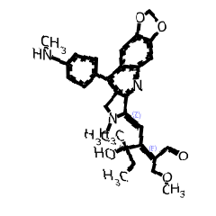 CC[C@](C)(O)C(/C=C1/c2nc3cc4c(cc3c(-c3ccc(NC)cc3)c2CN1C)OCO4)=C(/C=O)COC